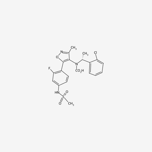 Cc1noc(-c2ccc(NS(C)(=O)=O)cc2F)c1N(C(=O)O)[C@H](C)c1ccccc1Cl